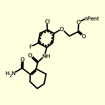 CCCCCOC(=O)COc1cc(NC(=O)C2=C(C(N)=O)CCCC2)c(F)cc1Cl